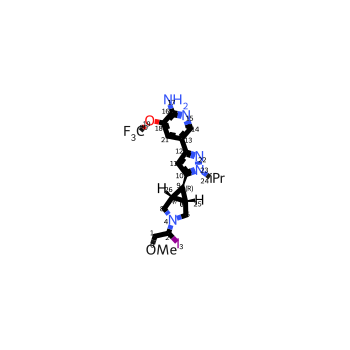 COCC(I)N1C[C@@H]2[C@H](C1)[C@H]2c1cc(-c2cnc(N)c(OC(F)(F)F)c2)nn1C(C)C